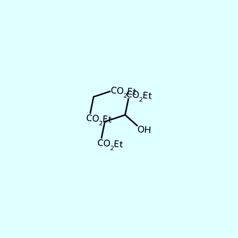 CCOC(=O)CC(=O)OCC.CCOC(=O)CC(O)C(=O)OCC